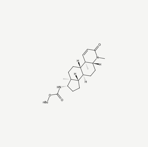 CCCCOC(=O)N[C@H]1CC[C@H]2[C@@H]3CC[C@H]4N(C)C(=O)C=C[C@]4(C)[C@H]3CC[C@]12C